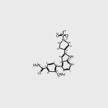 CNC(=O)c1ccc(-c2ccnc3[nH]c(C4=CCN(S(C)(=O)=O)CC4)cc23)c(OC)c1